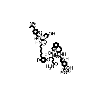 Cc1ncsc1-c1ccc([C@H](C)NC(=O)[C@@H]2C[C@@H](O)CN2C(=O)[C@@H](NC(=O)CCCCCc2c(F)ccc(OC[C@H](CCC(N)=O)NC(=O)[C@@H]3Cc4cccc5c4N3C(=O)[C@@H](NC(O)c3cc4cc(C(=O)P(=O)(O)O)ccc4[nH]3)CC5)c2F)C(C)(C)C)cc1